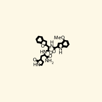 COc1cccc2[nH]c(C(=O)N[C@H](C(=O)NC(CC3CCNC3=O)C(N)=O)C3Cc4ccccc4O3)cc12